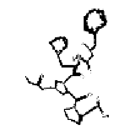 CCC(=O)CC1CC(C(=O)N2CCCC2C(=O)O)N(C(=O)C(Cc2ccccc2)NC(=O)CC(N)Cc2ccccc2)C1